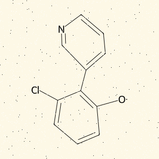 [O]c1cccc(Cl)c1-c1cccnc1